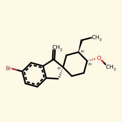 C=C1c2cc(Br)ccc2C[C@]12CC[C@@H](OC)[C@H](CC)C2